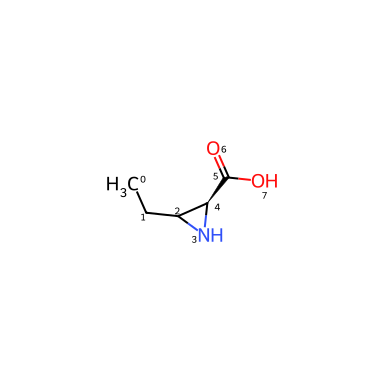 CCC1N[C@@H]1C(=O)O